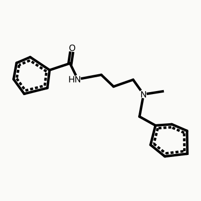 CN(CCCNC(=O)c1ccccc1)Cc1ccccc1